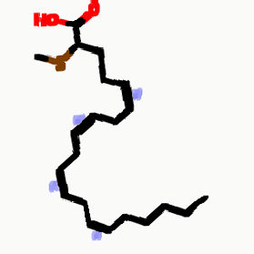 CCCCC/C=C\C/C=C\C/C=C\C/C=C\CCC(SC)C(=O)O